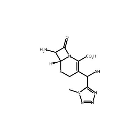 Cn1nnnc1C(S)C1=C(C(=O)O)N2C(=O)C(N)[C@H]2SC1